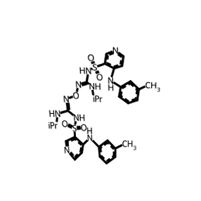 Cc1cccc(Nc2ccncc2S(=O)(=O)NC(=NON=C(NC(C)C)NS(=O)(=O)c2cnccc2Nc2cccc(C)c2)NC(C)C)c1